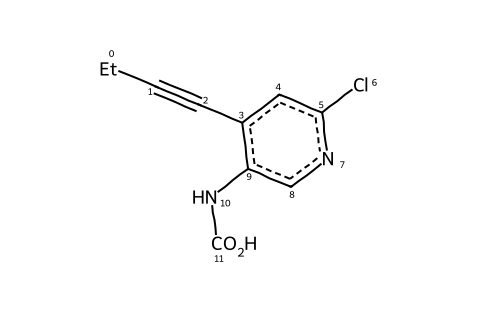 CCC#Cc1cc(Cl)ncc1NC(=O)O